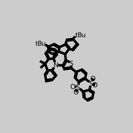 CC(C)(C)c1ccc2c(c1)-c1cc(C(C)(C)C)ccc1C2c1sc(-c2ccc3c(c2)S(=O)(=O)c2ccccc2S3(=O)=O)cc1N1c2ccccc2C(C)(C)c2ccccc21